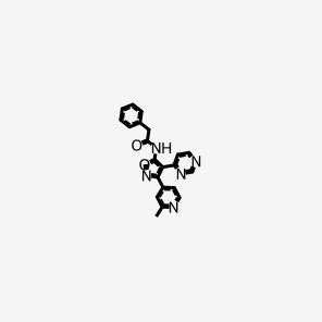 Cc1cc(-c2noc(NC(=O)Cc3ccccc3)c2-c2ccncn2)ccn1